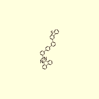 c1cc(-c2ccc(-c3cccc(-c4cnc5c6ccccc6c6ccccc6c5n4)c3)cc2)cc(-c2ccc3sc4ccccc4c3c2)c1